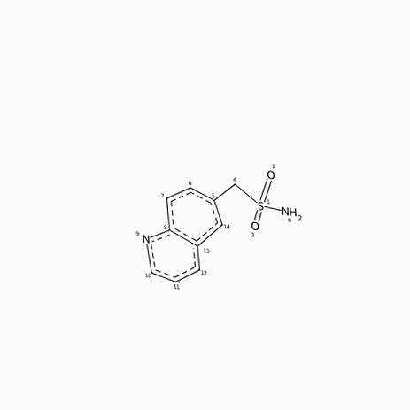 NS(=O)(=O)Cc1ccc2nc[c]cc2c1